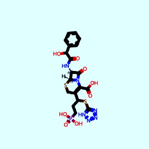 O=C(O)C1=C(C(CCP(=O)(O)O)Sc2nnn[nH]2)CS[C@H]2[C@H](NC(=O)C(O)c3ccccc3)C(=O)N12